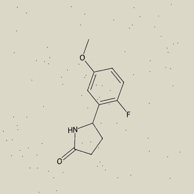 COc1ccc(F)c(C2CCC(=O)N2)c1